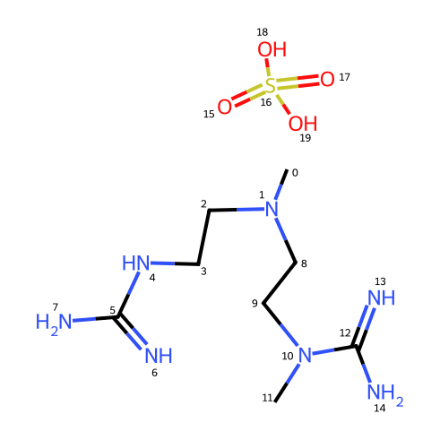 CN(CCNC(=N)N)CCN(C)C(=N)N.O=S(=O)(O)O